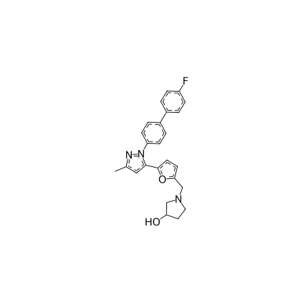 Cc1cc(-c2ccc(CN3CCC(O)C3)o2)n(-c2ccc(-c3ccc(F)cc3)cc2)n1